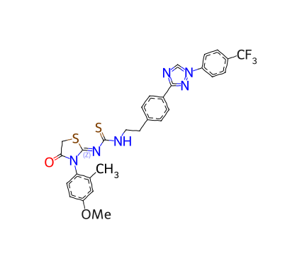 COc1ccc(N2C(=O)CS/C2=N\C(=S)NCCc2ccc(-c3ncn(-c4ccc(C(F)(F)F)cc4)n3)cc2)c(C)c1